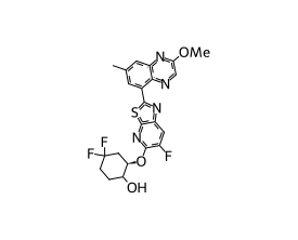 COc1cnc2c(-c3nc4cc(F)c(O[C@@H]5CC(F)(F)CCC5O)nc4s3)cc(C)cc2n1